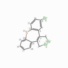 BrCC1=C(CBr)c2cc(Br)ccc2Sc2ccccc21